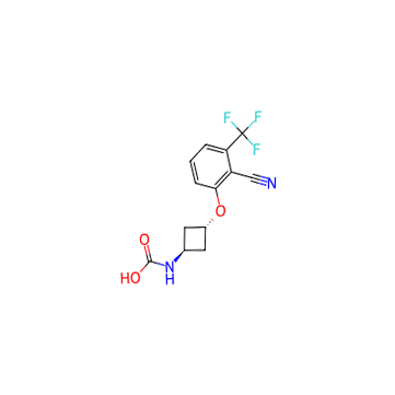 N#Cc1c(O[C@H]2C[C@H](NC(=O)O)C2)cccc1C(F)(F)F